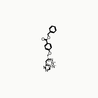 [N-]=[N+]=N[C@@H](COc1ccc(C(=O)OCc2ccccc2)cc1)Cn1ncnn1